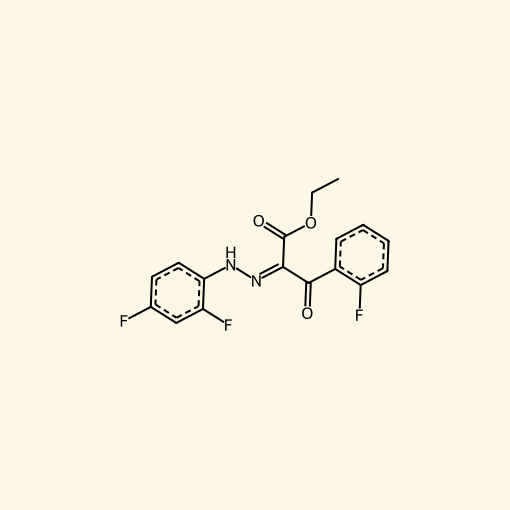 CCOC(=O)C(=NNc1ccc(F)cc1F)C(=O)c1ccccc1F